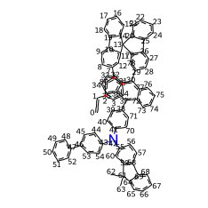 C=Cc1cccc(-c2ccc3c(c2)C2(c4ccccc4-3)c3ccccc3-c3ccc(-c4c5ccccc5c(-c5ccc(N(c6ccc(-c7ccccc7)cc6)c6ccc7c(c6)C(C)(C)c6ccccc6-7)cc5)c5ccccc45)cc32)c1